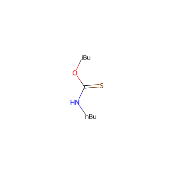 CCCCNC(=S)OC(C)CC